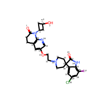 C[C@]1(O)C[C@@H](N2C(=O)CCc3cc(OCCN4CCC5(CC4)C(=O)Nc4c(I)cc(Cl)cc45)cnc32)C1